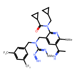 CN/N=C(\N=N)N(Cc1cc(C(F)(F)F)cc(C(F)(F)F)c1)Cc1cc(C(C)=N)c(NC)nc1N(CC1CC1)C(=O)C1CC1